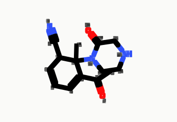 CC(=O)C1=CC=CC(C#N)C1(C)N1CCNCC1=O